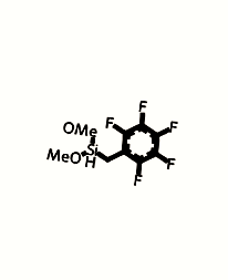 CO[SiH](Cc1c(F)c(F)c(F)c(F)c1F)OC